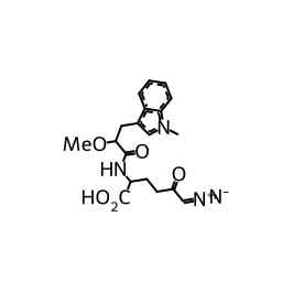 COC(Cc1cn(C)c2ccccc12)C(=O)NC(CCC(=O)C=[N+]=[N-])C(=O)O